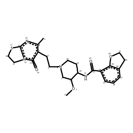 COC1CN(CCc2c(C)nc3n(c2=O)CCS3)CCC1NC(=O)c1cccc2c1OCC2